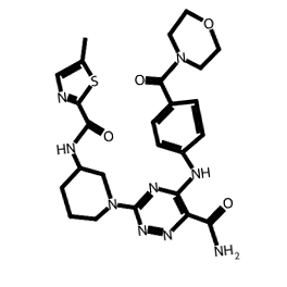 Cc1cnc(C(=O)NC2CCCN(c3nnc(C(N)=O)c(Nc4ccc(C(=O)N5CCOCC5)cc4)n3)C2)s1